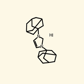 C1=CN(C23CC4CC(CC(C4)C2)C3)CN1C12CC3CC(CC(C3)C1)C2.I